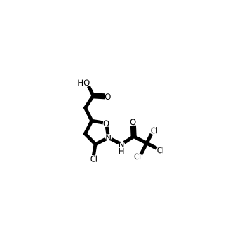 O=C(O)CC1CC(Cl)N(NC(=O)C(Cl)(Cl)Cl)O1